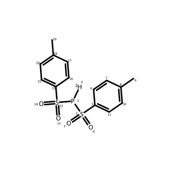 [2H]P(S(=O)(=O)c1ccc(C)cc1)S(=O)(=O)c1ccc(C)cc1